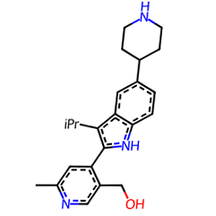 Cc1cc(-c2[nH]c3ccc(C4CCNCC4)cc3c2C(C)C)c(CO)cn1